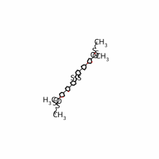 CCCCSC(=S)OC(CC)c1ccc(-c2ccc(-c3ccc4c(c3)sc3c5ccc(-c6ccc(-c7ccc(C(CC)OC(=S)SCCCC)cc7)cc6)cc5sc43)cc2)cc1